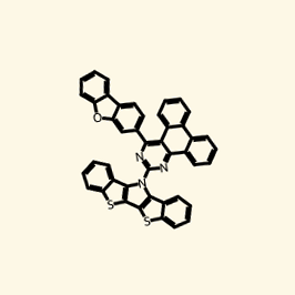 c1ccc2c(c1)oc1cc(-c3nc(-n4c5c6ccccc6sc5c5sc6ccccc6c54)nc4c5ccccc5c5ccccc5c34)ccc12